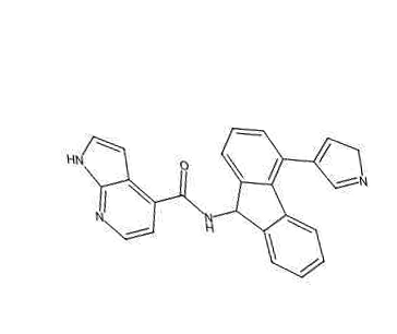 O=C(NC1c2ccccc2-c2c(C3=CCN=C3)cccc21)c1ccnc2[nH]ccc12